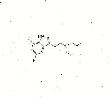 CCCN(CC)CCc1c[nH]c2c(F)cc(F)cc12